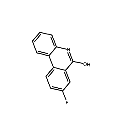 Oc1nc2ccccc2c2ccc(F)cc12